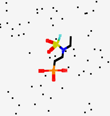 CCN(CCP(=O)(O)O)S(=O)(=O)F